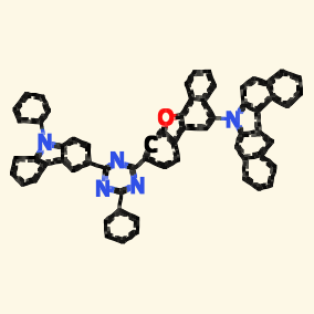 c1ccc(-c2nc(-c3ccc4c(c3)oc3c5ccccc5c(-n5c6cc7ccccc7cc6c6c7ccccc7ccc65)cc43)nc(-c3ccc4c(c3)c3ccccc3n4-c3ccccc3)n2)cc1